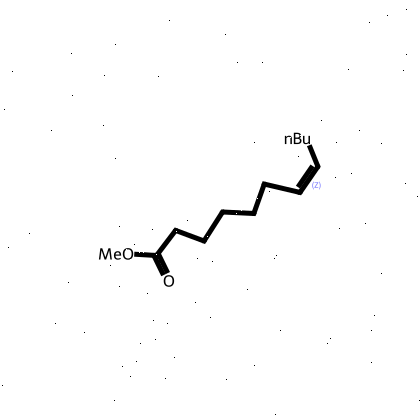 CCCC/C=C\CCCCCC(=O)OC